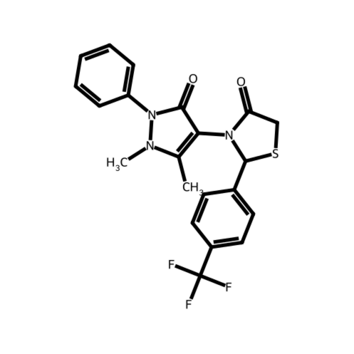 Cc1c(N2C(=O)CSC2c2ccc(C(F)(F)F)cc2)c(=O)n(-c2ccccc2)n1C